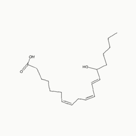 CCCCCC(O)/C=C/C=C\C/C=C\CCCCCC(=O)O